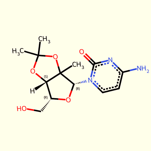 CC1(C)O[C@H]2[C@@H](CO)O[C@@H](n3ccc(N)nc3=O)C2(C)O1